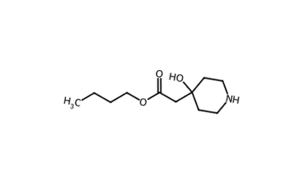 CCCCOC(=O)CC1(O)CCNCC1